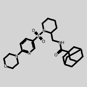 O=C(NCC1CCCCN1S(=O)(=O)c1ccc(N2CCOCC2)nc1)C12CC3CC(CC(C3)C1)C2